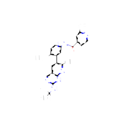 [2H]C([2H])([2H])Nc1ncc2cc(-c3cc(NC(=O)c4ccnc(C(F)(F)F)c4)ccc3C)c(C)nc2n1